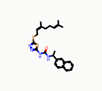 CC(C)=CCCC(C)=CCSc1nnc(NC(=O)NC(C)c2ccc3ccccc3c2)s1